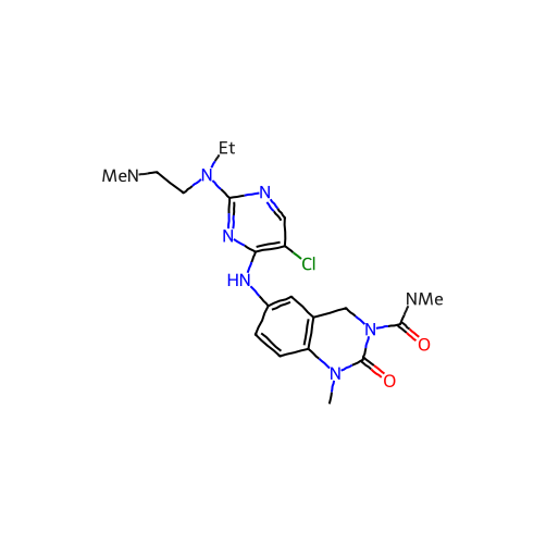 CCN(CCNC)c1ncc(Cl)c(Nc2ccc3c(c2)CN(C(=O)NC)C(=O)N3C)n1